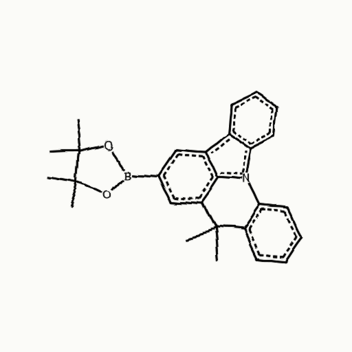 CC1(C)c2ccccc2-n2c3ccccc3c3cc(B4OC(C)(C)C(C)(C)O4)cc1c32